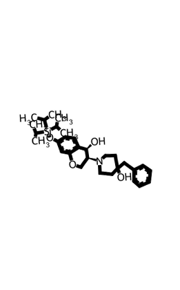 CC(C)[Si](Oc1ccc2c(c1)OC[C@H](N1CCC(O)(Cc3ccccc3)CC1)[C@@H]2O)(C(C)C)C(C)C